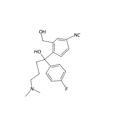 [C-]#[N+]c1ccc(C(O)(CCCN(C)C)c2ccc(F)cc2)c(CO)c1